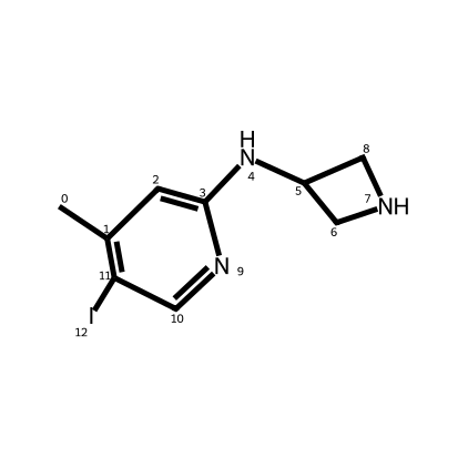 Cc1cc(NC2CNC2)ncc1I